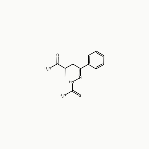 CC(CC(=NNC(N)=S)c1ccccc1)C(N)=O